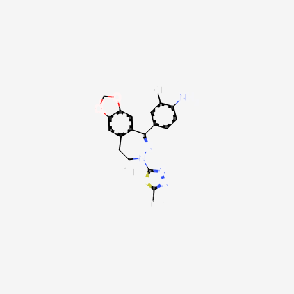 CCCc1nnc(N2N=C(c3ccc(N)c(C)c3)c3cc4c(cc3C[C@H]2C)OCO4)s1